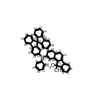 CC1(C)c2ccccc2-c2ccc3ccc(N(c4ccccc4)c4ccc5c(c4)C4(c6ccccc6-c6ccccc64)c4ccccc4-5)cc3c21